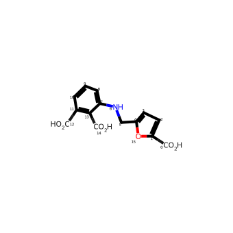 O=C(O)c1ccc(CNc2cccc(C(=O)O)c2C(=O)O)o1